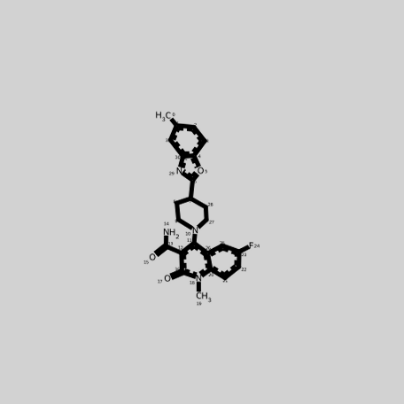 Cc1ccc2oc(C3CCN(c4c(C(N)=O)c(=O)n(C)c5ccc(F)cc45)CC3)nc2c1